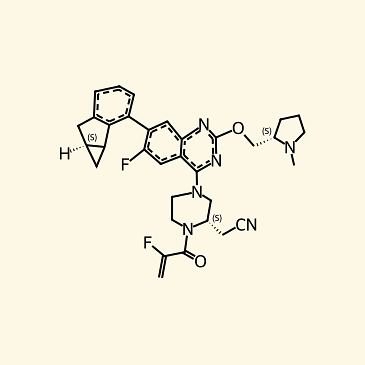 C=C(F)C(=O)N1CCN(c2nc(OC[C@@H]3CCCN3C)nc3cc(-c4cccc5c4C4C[C@H]4C5)c(F)cc23)C[C@@H]1CC#N